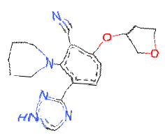 N#Cc1c(OC2CCOC2)ccc(-c2nc[nH]n2)c1N1CCCCC1